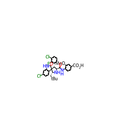 COc1cc(C(=O)O)ccc1NC(=O)[C@H]1N[C@H](CC(C)(C)C)C2(C(=O)Nc3cc(Cl)ccc32)[C@@H]1c1cccc(Cl)c1F